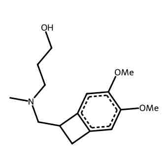 COc1cc2c(cc1OC)C(CN(C)CCCO)C2